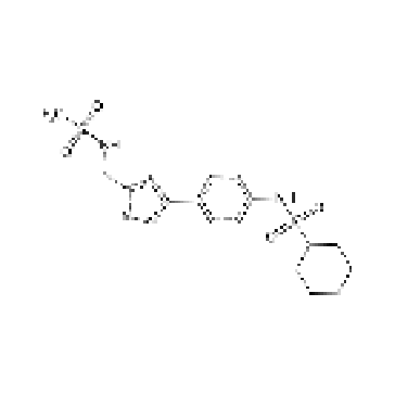 O=S(=O)(Nc1ccc(-c2cnc(CNS(=O)(=O)C(F)(F)F)s2)cc1)C1CCCCC1